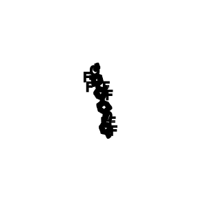 CCOc1ccc(-c2ccc(C3=CCC(OCc4ccc(C)c(F)c4F)CC3)c(F)c2F)c(F)c1F